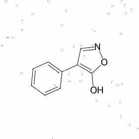 Oc1oncc1-c1ccccc1